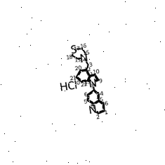 Cl.c1cnc2ccc(-n3ccc4c(CN5CCSCC5)cccc43)cc2c1